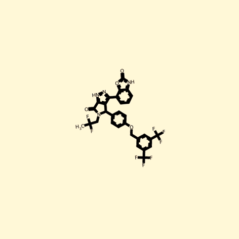 CC(F)(F)CN1C(=O)c2[nH]nc(-c3cccc4[nH]c(=O)oc34)c2C1c1ccc(OCc2cc(C(F)(F)F)cc(C(F)(F)F)c2)cc1